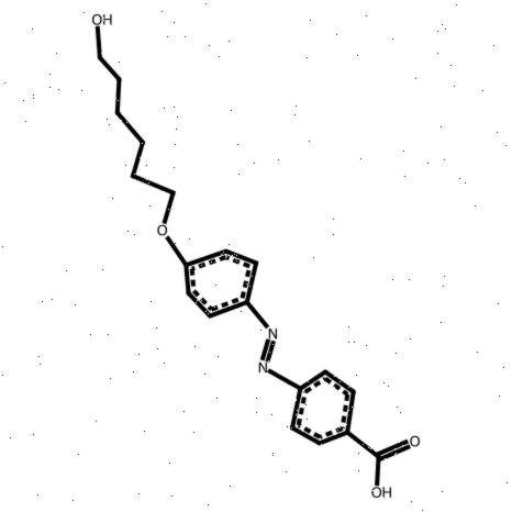 O=C(O)c1ccc(/N=N/c2ccc(OCCCCCCO)cc2)cc1